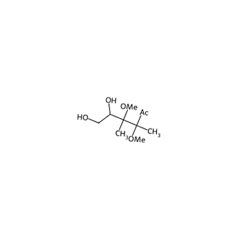 COC(C)(C(C)=O)C(C)(OC)C(O)CO